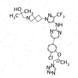 C[C@@H](Cn1cnnn1)Oc1cc(-c2cnc(Nc3cn(C4CC5(C4)CN(CC(C)(C)O)C5)nc3C(F)(F)F)nc2)ccc1Cl